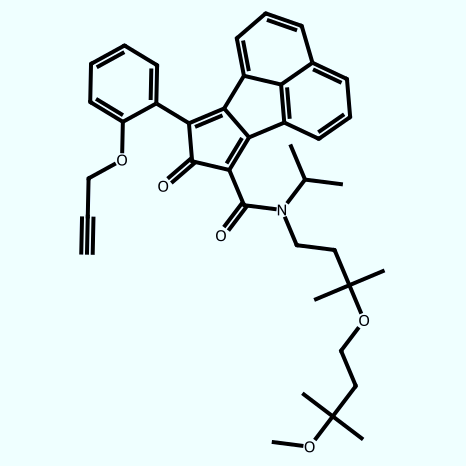 C#CCOc1ccccc1C1=C2C(=C(C(=O)N(CCC(C)(C)OCCC(C)(C)OC)C(C)C)C1=O)c1cccc3cccc2c13